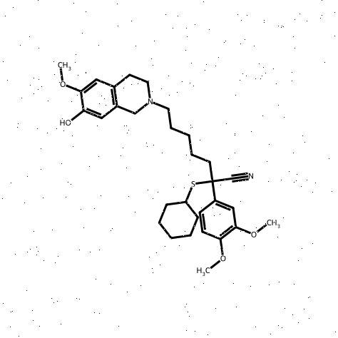 COc1cc2c(cc1O)CN(CCCCCC(C#N)(SC1CCCCC1)c1ccc(OC)c(OC)c1)CC2